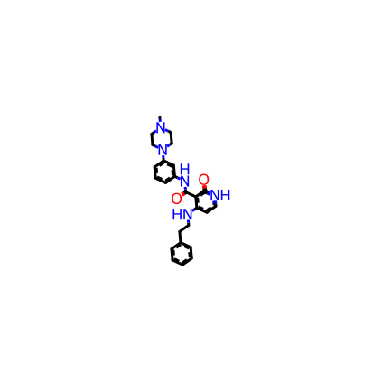 CN1CCN(c2cccc(NC(=O)c3c(NCCc4ccccc4)cc[nH]c3=O)c2)CC1